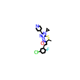 CC(Sc1nnc(-c2ccncc2)n1C1CC1)c1cc(-c2cc(Cl)ccc2F)on1